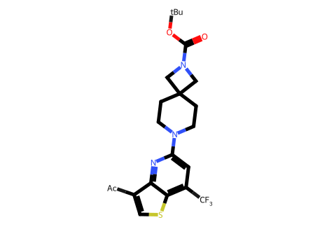 CC(=O)c1csc2c(C(F)(F)F)cc(N3CCC4(CC3)CN(C(=O)OC(C)(C)C)C4)nc12